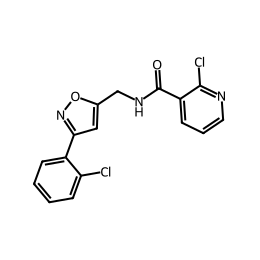 O=C(NCc1cc(-c2ccccc2Cl)no1)c1cccnc1Cl